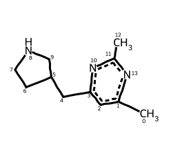 Cc1cc(CC2CCNC2)nc(C)n1